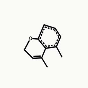 CC1=CCOc2cccc(C)c21